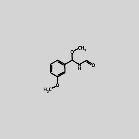 COc1cccc(C(NC=O)OC)c1